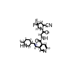 CC1CCC(/C=C/c2cnccc2C(=O)NCC(=O)N2CC(F)(F)CC2C#N)CN1